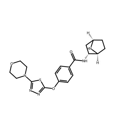 O=C(N[C@@H]1C[C@H]2CC[C@@H]1N2)c1ccc(Oc2nnc(N3CCOCC3)s2)cc1